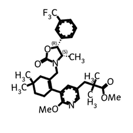 COC(=O)C(C)(C)Cc1cnc(OC)c(C2=C(CN3C(=O)O[C@H](c4cccc(C(F)(F)F)c4)[C@@H]3C)CC(C)(C)CC2)c1